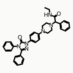 CCNC(=O)C(c1ccccc1)N1CCN(c2ccc(-n3nc(-c4ccccc4)n(-c4ccccc4)c3=O)cc2)CC1